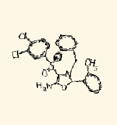 Cc1ccccc1C1OC(N)=C(S(=O)(=O)c2ccc(Cl)c(Cl)c2)N1Cc1ccccc1